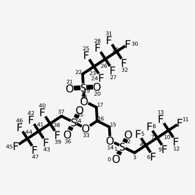 O=S(=O)(CC(F)(F)C(F)(F)C(F)(F)F)OCC(COS(=O)(=O)CC(F)(F)C(F)(F)C(F)(F)F)OS(=O)(=O)CC(F)(F)C(F)(F)C(F)(F)F